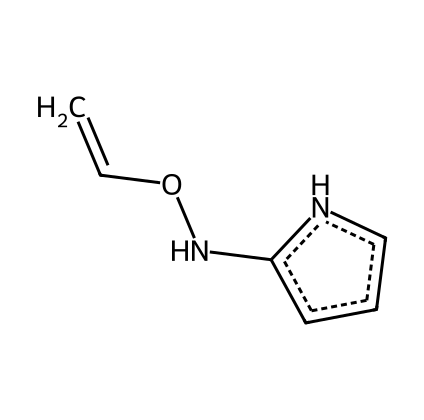 C=CONc1ccc[nH]1